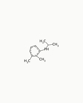 Cc1cccc(PC(C)C)c1C